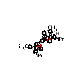 CC1=CC=C(N(c2ccc(C(C)C)cc2-c2ccccc2)c2ccc3c4cc5c(cc4n4c6ccccc6c2c34)c2ccc(N(c3ccc(C)cc3)c3ccc(C(C)C)cc3-c3ccccc3)c3c4ccccc4n5c23)C(C)C1